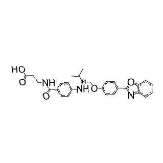 CC(C)[C@H](COc1ccc(-c2nc3ccccc3o2)cc1)Nc1ccc(C(=O)NCCC(=O)O)cc1